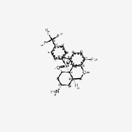 N[C@@H]1CC[C@@]2(S(=O)(=O)c3ccc(C(F)(F)F)cc3)c3c(F)ccc(F)c3OC[C@H]2C1